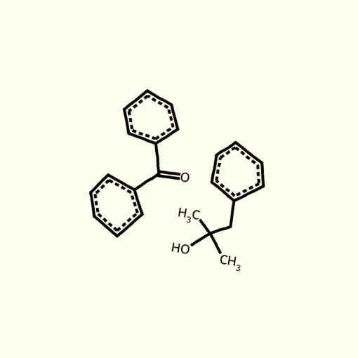 CC(C)(O)Cc1ccccc1.O=C(c1ccccc1)c1ccccc1